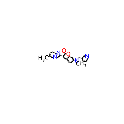 Cc1ccc2nc(-c3cc4ccc(N(C)Cc5cccnc5)cc4oc3=O)cn2c1